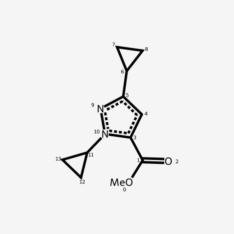 COC(=O)c1cc(C2CC2)nn1C1CC1